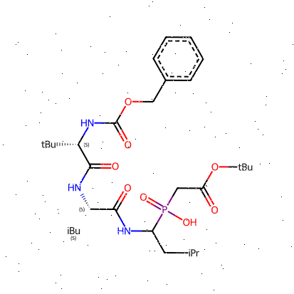 CC[C@H](C)[C@H](NC(=O)[C@@H](NC(=O)OCc1ccccc1)C(C)(C)C)C(=O)NC(CC(C)C)P(=O)(O)CC(=O)OC(C)(C)C